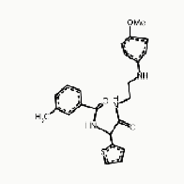 COc1ccc(NCCNC(=O)C(NC(=O)c2cccc(C)c2)c2cccs2)cc1